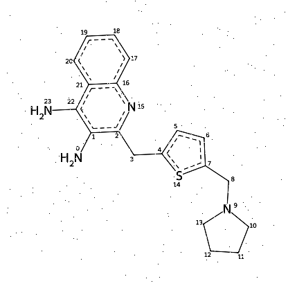 Nc1c(Cc2ccc(CN3CCCC3)s2)nc2ccccc2c1N